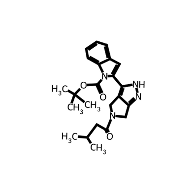 CC(C)CC(=O)N1Cc2n[nH]c(-c3cc4ccccc4n3C(=O)OC(C)(C)C)c2C1